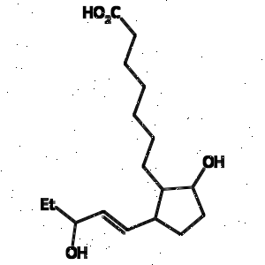 CCC(O)/C=C/C1CCC(O)C1CCCCCCC(=O)O